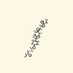 C=CC(=O)CCCOc1ccc(C(C)(C)c2ccc(OCCOC(=O)C=C)cc2)cc1